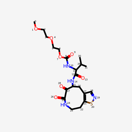 COCCOCCOC(=O)NC(C(=O)NC1Cc2cnsc2CCNC(=O)C1=O)C(C)C